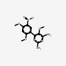 COc1cc(OC)c([N+](=O)[O-])cc1-c1nc(N)nc(N)c1OC